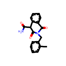 Cc1ccccc1CN1C(=O)c2ccccc2C(C(N)=O)C1=O